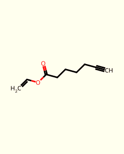 C#CCCCCC(=O)OC=C